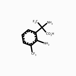 Nc1c(C(F)(F)F)cccc1C(N)(C(=O)O)C(F)(F)F